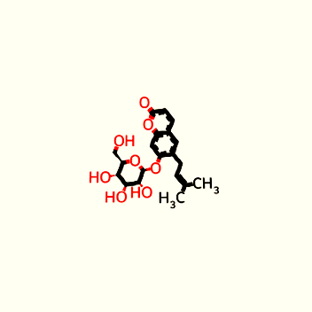 CC(C)=CCc1cc2ccc(=O)oc2cc1O[C@@H]1O[C@H](CO)[C@@H](O)[C@H](O)[C@H]1O